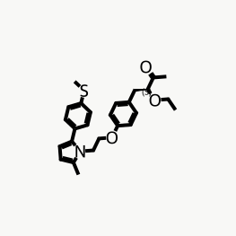 CCO[C@@H](Cc1ccc(OCCn2c(C)ccc2-c2ccc(SC)cc2)cc1)C(C)=O